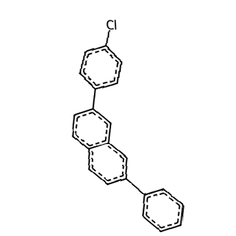 Clc1ccc(-c2ccc3ccc(-c4ccccc4)cc3c2)cc1